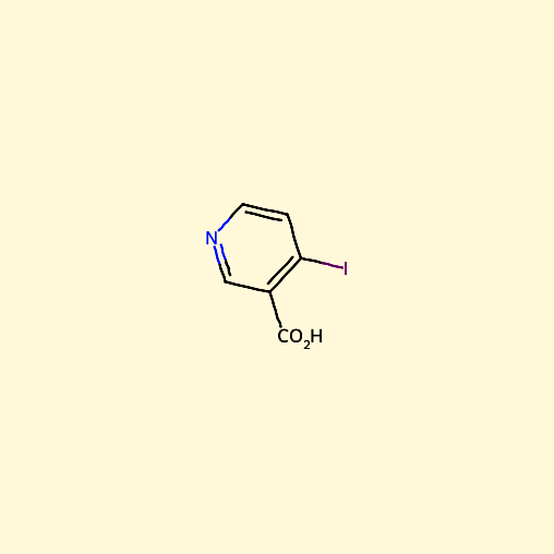 O=C(O)c1cnccc1I